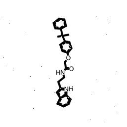 CC(C)(c1ccccc1)c1ccc(OCC(=O)NCCc2cc3ccccc3[nH]2)cc1